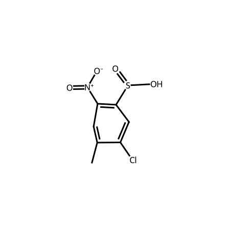 Cc1cc([N+](=O)[O-])c(S(=O)O)cc1Cl